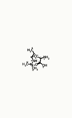 CC(N)C(=O)O.CCCNN(C)C